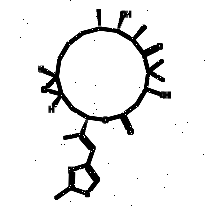 C/C(=C\c1csc(C)n1)[C@@H]1C[C@@H]2O[C@@H]2CCC[C@H](C)[C@H](O)[C@@H](C)C(=O)C(C)(C)C(O)CC(=O)O1